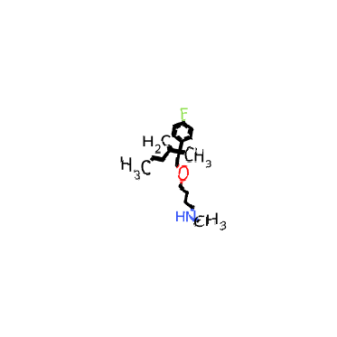 C=C(CCC)C(C)(COCCCCNC)c1ccc(F)cc1